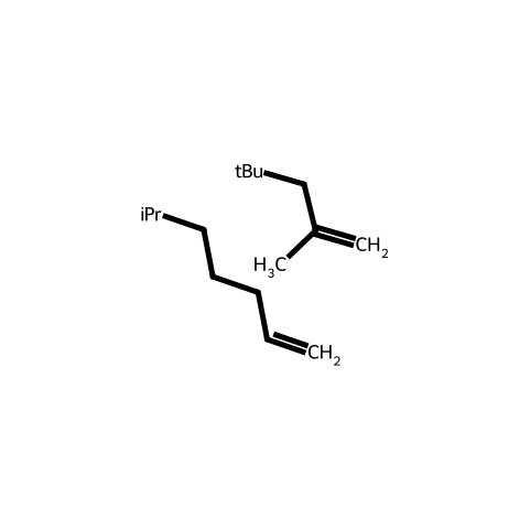 C=C(C)CC(C)(C)C.C=CCCCC(C)C